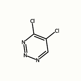 Clc1cnnnc1Cl